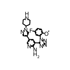 COc1ccc(F)cc1-n1nnnc1-c1cc(-c2cnn(C3CCNCC3)c2)cnc1N